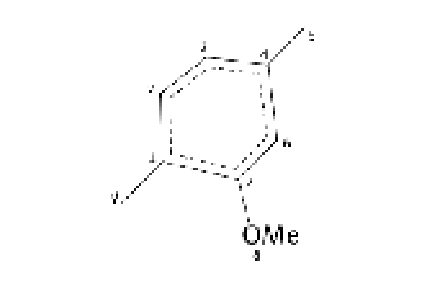 [CH2]c1ccc(C)cc1OC